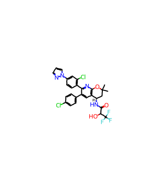 CC1(C)C[C@@H](NC(=O)C(O)C(F)(F)F)c2cc(-c3ccc(Cl)cc3)c(-c3ccc(-n4cccn4)cc3Cl)nc2O1